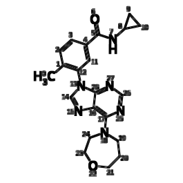 Cc1ccc(C(=O)NC2CC2)cc1-n1cnc2c(N3CCCOCC3)ncnc21